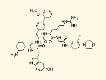 COc1ccccc1-c1ccc(C[C@H](NC(=O)[C@H](Cc2c[nH]c3ccc(O)cc23)NC(=O)[C@H]2CCC[C@H](N)C2)C(=O)N[C@@H](CCCCNC(=N)N)C(=O)NCC(=O)Nc2ccc(N3CCOCC3)c(F)c2)cc1